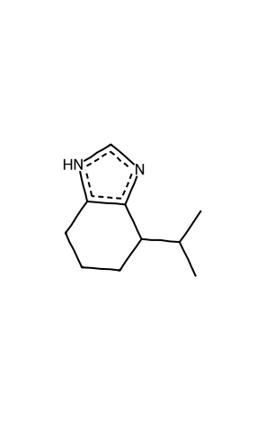 CC(C)C1CCCc2[nH]cnc21